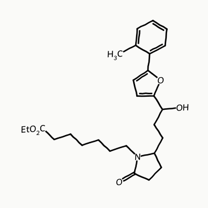 CCOC(=O)CCCCCCN1C(=O)CCC1CCC(O)c1ccc(-c2ccccc2C)o1